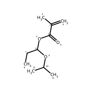 C=C(C)C(=O)OC(CC)OC(C)C